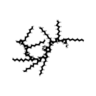 CCCCCCCCc1cc(-c2sc(-c3sc(-c4ccc(-c5cc(CCCCCCCC)c(-c6cc(CCCCCCCC)c(-c7cc(CCCCCCCC)c(-c8ccc(-c9sc(-c%10sc(C)cc%10CCCCCCCC)cc9CCCCCCCC)s8)s7)s6)s5)c5nsnc45)cc3CCCCCCCC)cc2CCCCCCCC)sc1OC